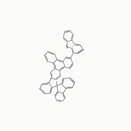 c1ccc2c(c1)-c1ccccc1C21c2ccccc2-c2cc3c4ccccc4c4cc(-c5cccc6c5sc5ccccc56)ccc4c3cc21